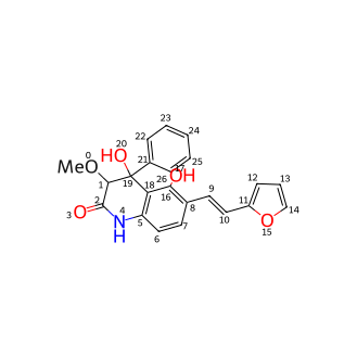 COC1C(=O)Nc2ccc(C=Cc3ccco3)c(O)c2C1(O)c1ccccc1